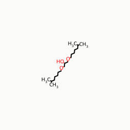 CC(C)CCCCCOCC(O)COCCCCCC(C)C